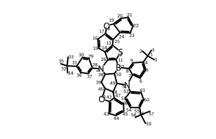 CC(C)(C)C1=C=C=C2C(=C1)B1c3sc4c(ccc5oc6ccccc6c54)c3N(c3ccc(C(C)(C)C)cc3)C3CC4Oc5ccccc5C4C(C13)N2c1ccc(C(C)(C)C)cc1